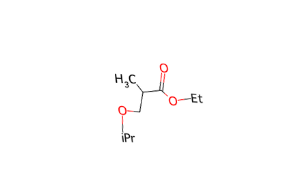 CCOC(=O)C(C)COC(C)C